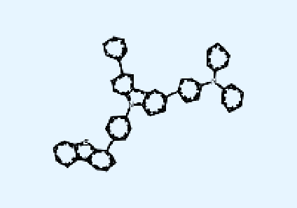 c1ccc(-c2ccc3c(c2)c2cc(-c4ccc(N(c5ccccc5)c5ccccc5)cc4)ccc2n3-c2ccc(-c3cccc4c3sc3ccccc34)cc2)cc1